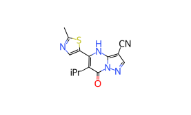 Cc1ncc(-c2[nH]c3c(C#N)cnn3c(=O)c2C(C)C)s1